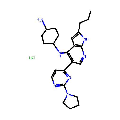 CCCc1cc2c(NC3CCC(N)CC3)c(-c3ccnc(N4CCCC4)n3)cnc2[nH]1.Cl